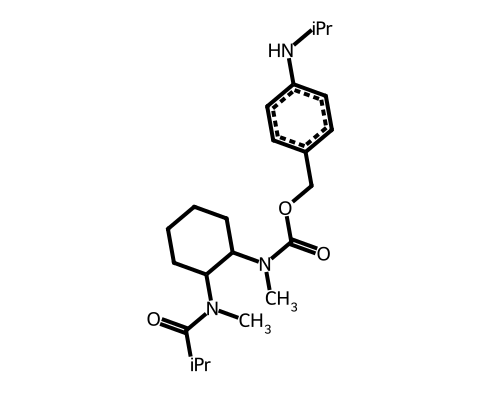 CC(C)Nc1ccc(COC(=O)N(C)C2CCCCC2N(C)C(=O)C(C)C)cc1